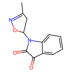 CC1=NOC(N2C(=O)C(=O)c3ccccc32)C1